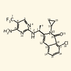 C[C@H](Nc1ncc(C(F)(F)F)c(N)n1)c1cc2cccc(Cl)c2c(=O)n1C1CC1